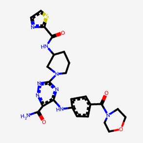 NC(=O)c1nnc(N2CCCC(NC(=O)c3nccs3)C2)nc1Nc1ccc(C(=O)N2CCOCC2)cc1